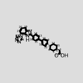 O=C(O)C[C@H]1CC[C@H](c2ccc(-c3ccc(-c4nc5cccc(-n6cnnn6)c5[nH]4)cc3)cc2)CC1